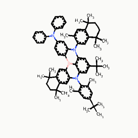 Cc1cc2c(cc1N1c3cc(N(c4ccccc4)c4ccccc4)ccc3B3c4cc5c(cc4N(c4c(C)cc(C(C)(C)C)cc4C)c4cc(C(C)(C)C)cc1c43)C(C)(C)CCC5(C)C)C(C)(C)CCC2(C)C